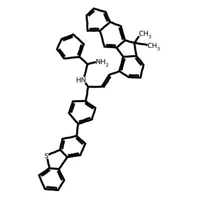 CC1(C)c2cc3ccccc3cc2-c2c(/C=C/C(NC(N)c3ccccc3)c3ccc(-c4ccc5c(c4)sc4ccccc45)cc3)cccc21